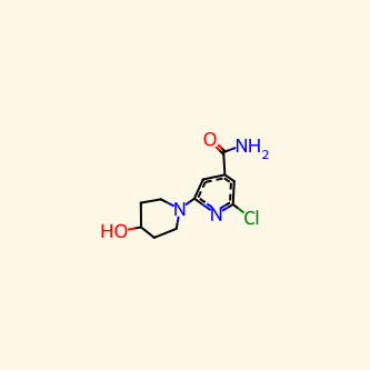 NC(=O)c1cc(Cl)nc(N2CCC(O)CC2)c1